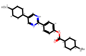 CCCCCCCCC1CCC(c2cnc(-c3ccc(OC(=O)C4CCC(CCCC)CC4)cc3)nc2)CC1